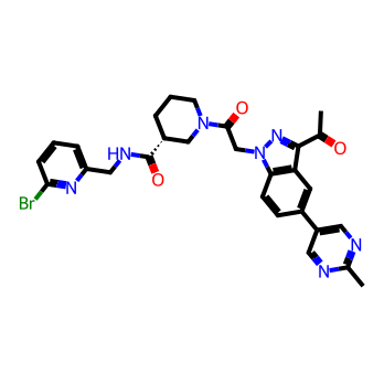 CC(=O)c1nn(CC(=O)N2CCC[C@@H](C(=O)NCc3cccc(Br)n3)C2)c2ccc(-c3cnc(C)nc3)cc12